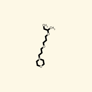 CCC(C)OCCCOCCCN1CCOCC1